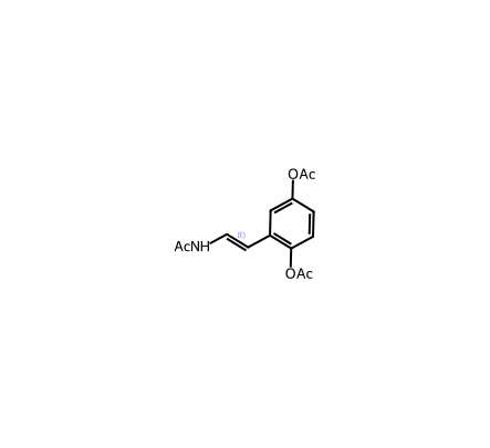 CC(=O)N/C=C/c1cc(OC(C)=O)ccc1OC(C)=O